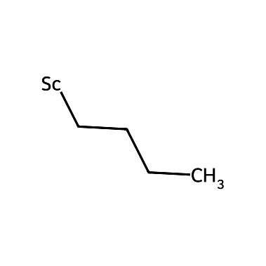 CCC[CH2][Sc]